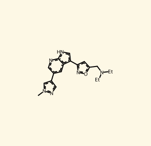 CCN(CC)Cc1cc(-c2c[nH]c3ncc(-c4cnn(C)c4)cc23)no1